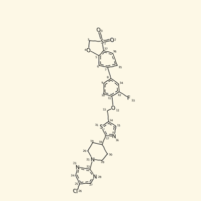 O=S1(=O)COc2cc(-c3ccc(OCc4cnc(C5CCN(c6ncc(Cl)cn6)CC5)s4)c(F)c3)ccc21